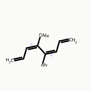 C=C/C=C(CCC)\C(=C/C=C)OC